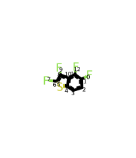 Fc1ccc2sc(F)c(F)c2c1F